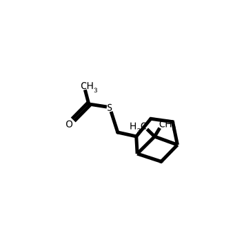 CC(=O)SCC1CCC2CC1C2(C)C